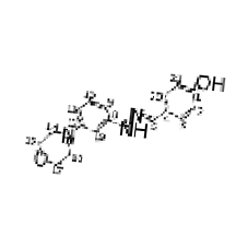 Oc1ccc(C=NNc2cccc(N3CCOCC3)c2)cc1